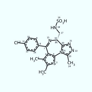 Cc1sc2c(c1C)C(c1ccc(Cl)cc1)=N[C@H](CNS(=O)(=O)O)c1nnc(C)n1-2